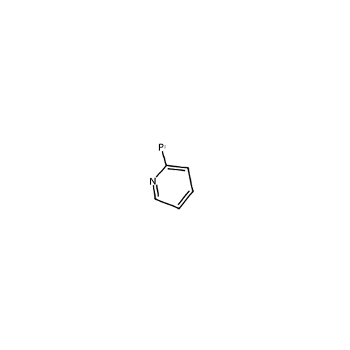 [P]c1ccccn1